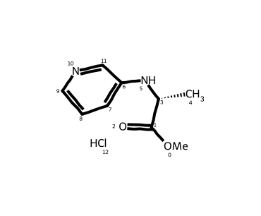 COC(=O)[C@@H](C)Nc1cccnc1.Cl